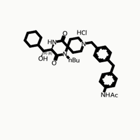 CCCCN1C(=O)[C@@H]([C@H](O)C2CCCCC2)NC(=O)C12CCN(Cc1ccc(Cc3ccc(NC(C)=O)cc3)cc1)CC2.Cl